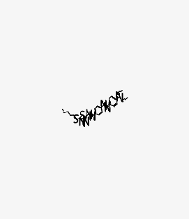 CCCCCSc1nnc(N=Nc2ccc(N=Nc3ccc(N(CC)CC)cc3)cc2)s1